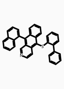 c1ccc(-c2ccccc2Sc2c3ccccc3c(-c3cccc4ccccc34)c3cnccc23)cc1